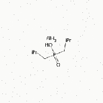 CC(C)CP(=O)(O)CC(C)C.[AlH3]